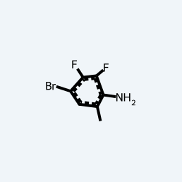 Cc1cc(Br)c(F)c(F)c1N